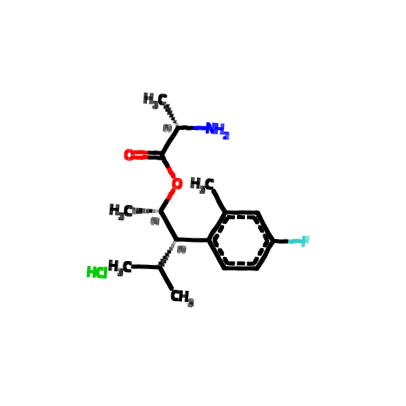 Cc1cc(F)ccc1[C@H](C(C)C)[C@H](C)OC(=O)[C@H](C)N.Cl